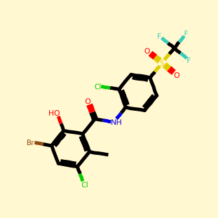 Cc1c(Cl)cc(Br)c(O)c1C(=O)Nc1ccc(S(=O)(=O)C(F)(F)F)cc1Cl